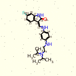 CC(C)N(CCNc1ccc(NC=C2C(=O)Nc3cc(F)ccc32)cc1)C(C)C